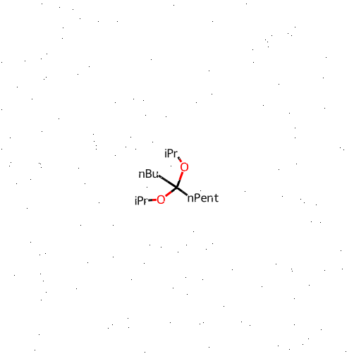 CCCCCC(CCCC)(OC(C)C)OC(C)C